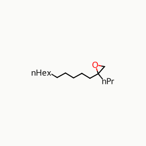 CCCCCCCCCCCC1(CCC)CO1